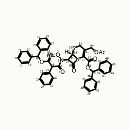 CON(C(=O)C(C(=O)OC(c1ccccc1)c1ccccc1)c1ccccc1)C1C(=O)N2C(C(=O)OC(c3ccccc3)c3ccccc3)=C(COC(C)=O)CS[C@@H]12